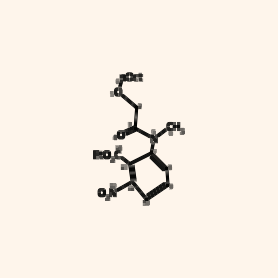 CCCCCCCCOCC(=O)N(C)c1cccc([N+](=O)[O-])c1C(=O)OCC